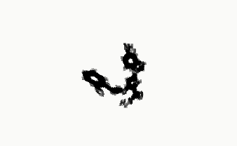 NC(=O)c1sc(-n2cnc3cc(N)ccc32)cc1OCCc1ccccc1Cl